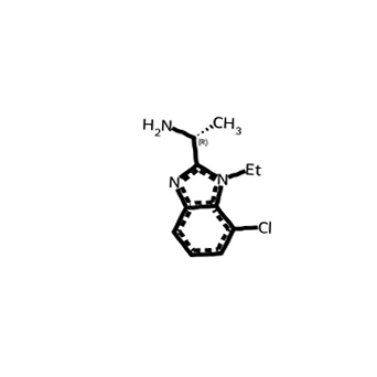 CCn1c([C@@H](C)N)nc2cccc(Cl)c21